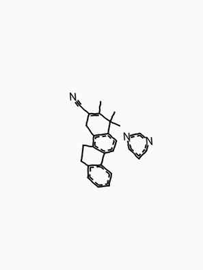 CC1=C(C#N)Cc2c(ccc3c2CCc2ccccc2-3)C1(C)C.c1cncnc1